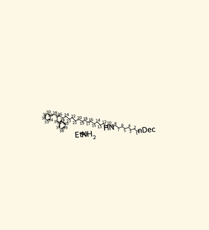 CCCCCCCCCCCCCCCCCCNCCCCCCCCCCCCCCCCCC(Cc1ccccc1)Cc1ccccc1.CCN